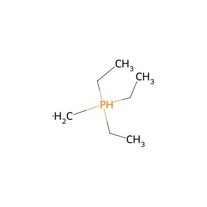 [CH2][PH](CC)(CC)CC